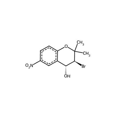 CC1(C)Oc2ccc([N+](=O)[O-])cc2[C@@H](O)[C@@H]1Br